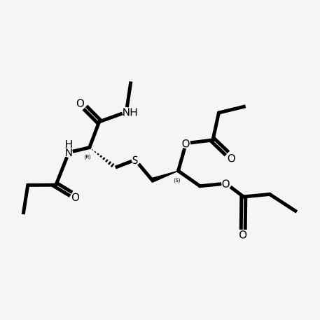 CCC(=O)N[C@@H](CSC[C@H](COC(=O)CC)OC(=O)CC)C(=O)NC